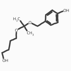 CC(C)(OCCCCO)OCc1ccc(O)cc1